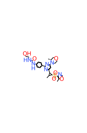 Cc1ocnc1S(=O)(=O)C1C(C)C1c1cc(N2CCOC[C@@H]2C)nc(-c2ccc(NC(=O)NCCO)cc2)n1